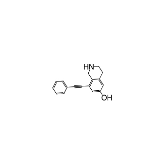 Oc1cc(C#Cc2ccccc2)c2c(c1)CCNC2